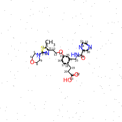 Cc1sc(N2CCOCC2)nc1CCOc1ccc(CCC(=O)O)c(CNC(=O)c2cnccn2)c1